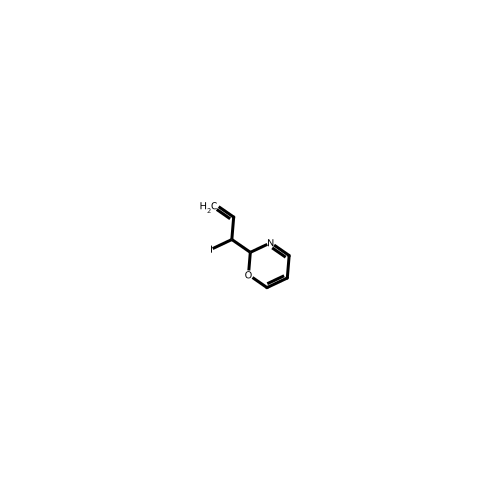 C=CC(I)C1N=CC=CO1